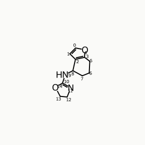 c1cc2c(o1)CCCC2NC1=NCCO1